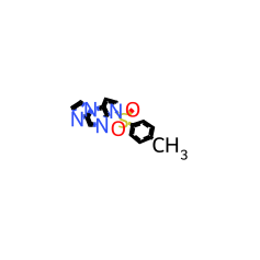 Cc1ccc(S(=O)(=O)n2ccc3c2ncc2nccn23)cc1